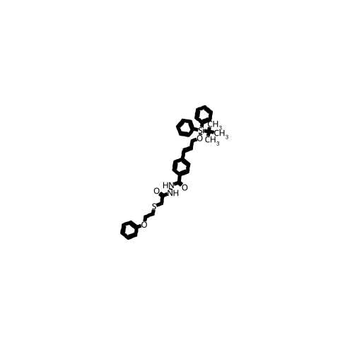 CC(C)(C)[Si](OC/C=C/c1ccc(C(=O)NNC(=O)CSCCOc2ccccc2)cc1)(c1ccccc1)c1ccccc1